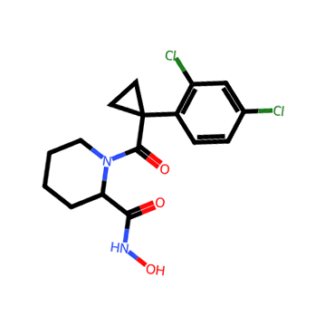 O=C(NO)C1CCCCN1C(=O)C1(c2ccc(Cl)cc2Cl)CC1